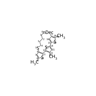 CCCCCCCCCCCCCCSc1cc(C)sc1-c1sc(-c2ccc(C)s2)cc1C